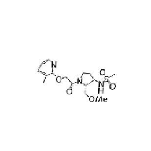 COC[C@H]1C(NS(C)(=O)=O)CCN1C(=O)COc1ncccc1C